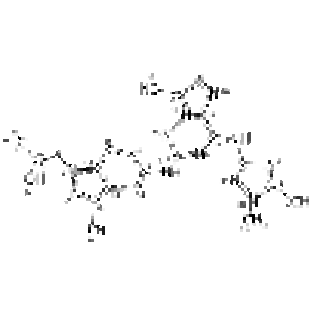 Cc1nc(Nc2nc(Nc3ccc4c(c3)c(C#N)nn4C[C@@H](C)O)nn3c(C#N)cnc23)nn1C